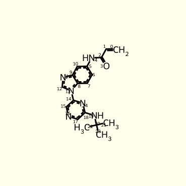 C=CC(=O)Nc1ccc2c(c1)ncn2-c1cncc(NC(C)(C)C)n1